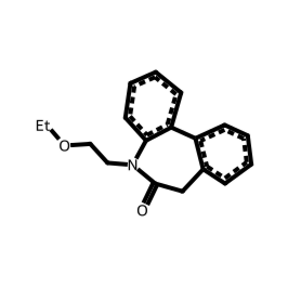 CCOCCN1C(=O)Cc2ccccc2-c2ccccc21